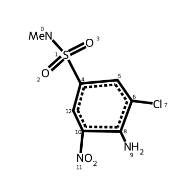 CNS(=O)(=O)c1cc(Cl)c(N)c([N+](=O)[O-])c1